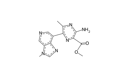 COC(=O)c1nc(-c2cncc3c2ncn3C)c(C)nc1N